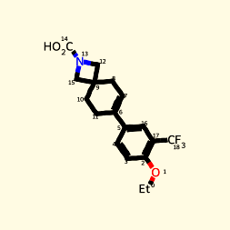 CCOc1ccc(C2=CCC3(CC2)CN(C(=O)O)C3)cc1C(F)(F)F